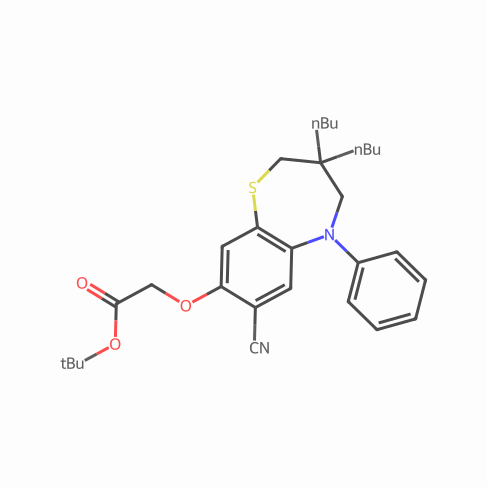 CCCCC1(CCCC)CSc2cc(OCC(=O)OC(C)(C)C)c(C#N)cc2N(c2ccccc2)C1